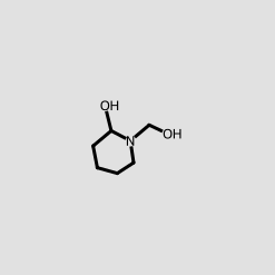 OCN1CCCCC1O